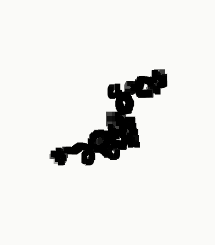 CN(C)C/C=C/C(=O)N1CCN2CC1COc1cc3ncnc(Nc4ccc(Oc5ccn6ccnc6c5)c(Cl)c4)c3nc12